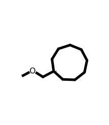 COC[C]1CCCCCCCC1